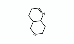 C1=NC2CC[N]CC2CC1